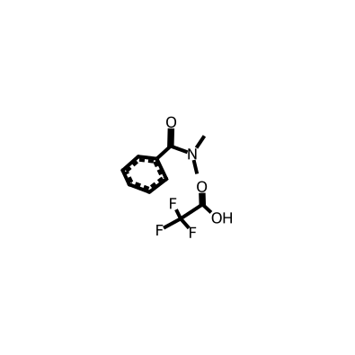 CN(C)C(=O)c1ccccc1.O=C(O)C(F)(F)F